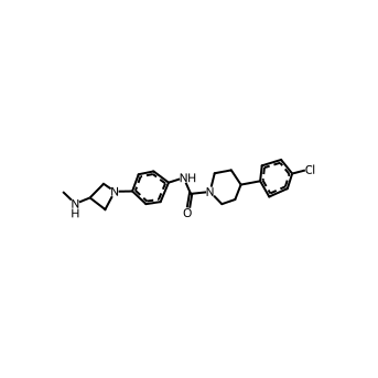 CNC1CN(c2ccc(NC(=O)N3CCC(c4ccc(Cl)cc4)CC3)cc2)C1